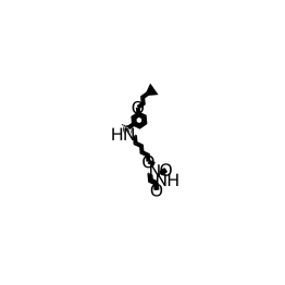 C[C@@H](NCCCCCOCn1ccc(=O)[nH]c1=O)c1cccc(OCCC2CC2)c1